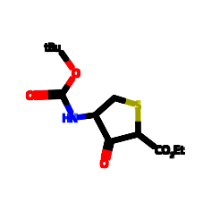 CCOC(=O)C1SCC(NC(=O)OC(C)(C)C)C1=O